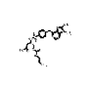 CCCNC(=O)OC[C@H](CC(C)C)NS(=O)(=O)c1ccc(Cc2nccc3c2nc(C)n3C)cc1